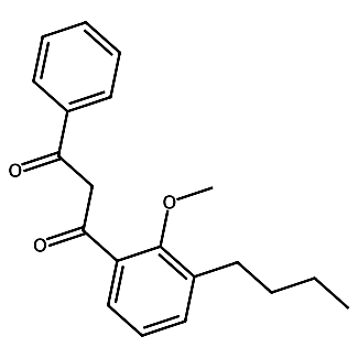 CCCCc1cccc(C(=O)CC(=O)c2ccccc2)c1OC